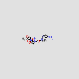 C=C1C(=O)CCC(N2C(=O)c3cccc(NCCOCCN(CCC)CC/C=C\C4CCC(N)CC4)c3C2=O)C1=O